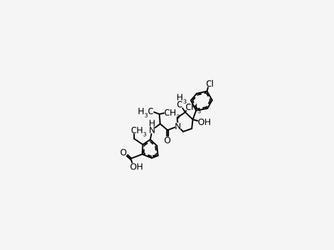 CCc1c(NC(C(=O)N2CCC(O)(c3ccc(Cl)cc3)C(C)(C)C2)C(C)C)cccc1C(=O)O